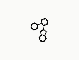 [CH]1C(c2ccccc2-c2ccccc2)=Cc2ccccc21